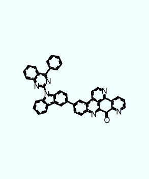 O=C1c2ncccc2-c2nccc3c2c1nc1ccc(-c2ccc4c(c2)c2ccccc2n4-c2nc(-c4ccccc4)c4ccccc4n2)cc13